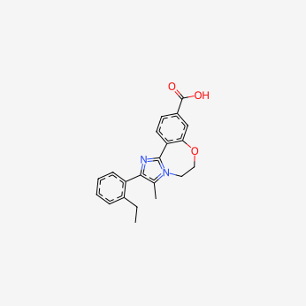 CCc1ccccc1-c1nc2n(c1C)CCOc1cc(C(=O)O)ccc1-2